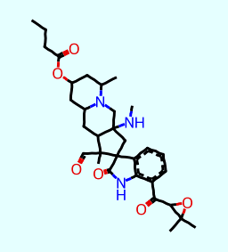 CCCC(=O)OC1CC(C)N2CC3(NC)CC4(C(=O)Nc5c(C(=O)C6OC6(C)C)cccc54)C(C)(C=O)C3CC2C1